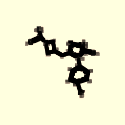 CCC(=O)N1CC(Cc2n[nH]c(=O)n2-c2ccc(Br)cc2)C1